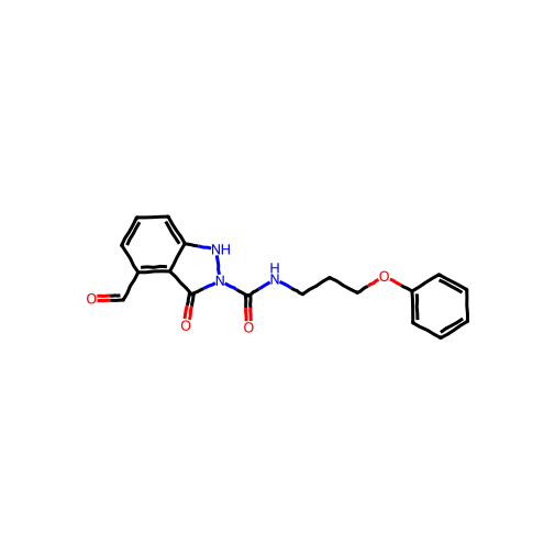 O=Cc1cccc2[nH]n(C(=O)NCCCOc3ccccc3)c(=O)c12